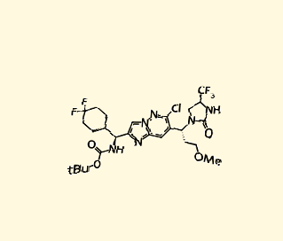 COCC[C@H](c1cc2nc([C@@H](NC(=O)OC(C)(C)C)C3CCC(F)(F)CC3)cn2nc1Cl)N1C[C@@H](C(F)(F)F)NC1=O